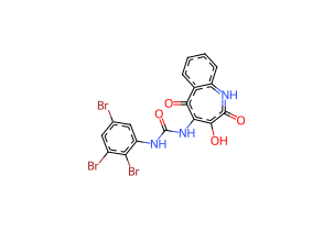 O=C(Nc1cc(Br)cc(Br)c1Br)Nc1c(O)c(=O)[nH]c2ccccc2c1=O